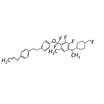 C=CCc1ccc(CCc2ccc(OC(F)(F)c3c(C)cc(C(C)C4CCC(CF)CC4)c(F)c3F)cc2)cc1